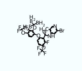 BC(B)(B)Oc1c(Oc2ccc(OC(F)(F)F)c(F)c2C(=O)Nc2cc(Br)ncc2C)ccc(OC(F)(F)F)c1F